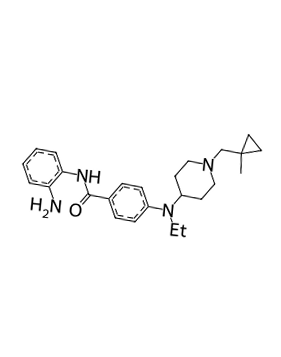 CCN(c1ccc(C(=O)Nc2ccccc2N)cc1)C1CCN(CC2(C)CC2)CC1